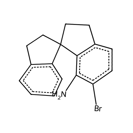 Nc1c(Br)ccc2c1C1(CCc3ccccc31)CC2